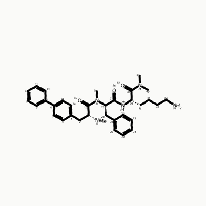 CN[C@H](Cc1ccc(-c2ccccc2)cc1)C(=O)N(C)[C@H](Cc1ccccc1)C(=O)N[C@@H](CCCCN)C(=O)N(C)C